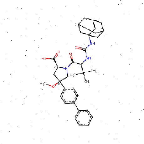 CO[C@@]1(c2ccc(-c3ccccc3)cc2)C[C@@H](C(=O)O)N(C(=O)C(NC(=O)NC23CC4CC(CC(C4)C2)C3)C(C)(C)C)C1